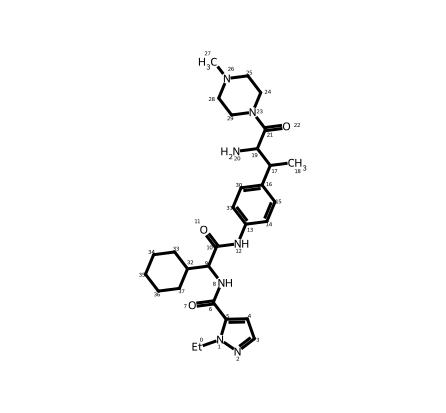 CCn1nccc1C(=O)NC(C(=O)Nc1ccc(C(C)C(N)C(=O)N2CCN(C)CC2)cc1)C1CCCCC1